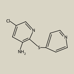 Nc1cc(Cl)cnc1Sc1ccncc1